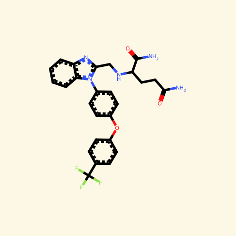 NC(=O)CCC(NCc1nc2ccccc2n1-c1ccc(Oc2ccc(C(F)(F)F)cc2)cc1)C(N)=O